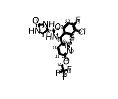 O=C1NC[C@@H](C(=O)N[C@@H](c2ccc(OCC(F)(F)F)nn2)c2ccc(F)c(Cl)c2F)N1